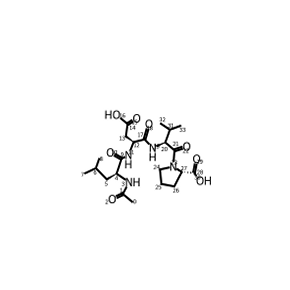 CC(=O)N[C@@H](CC(C)C)C(=O)N[C@@H](CC(=O)O)C(=O)N[C@H](C(=O)N1CCC[C@H]1C(=O)O)C(C)C